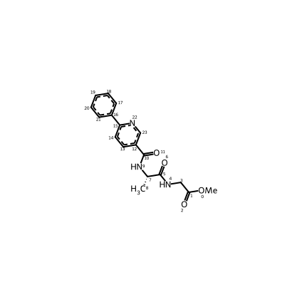 COC(=O)CNC(=O)[C@H](C)NC(=O)c1ccc(-c2ccccc2)nc1